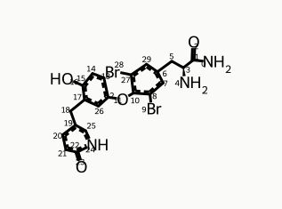 NC(=O)[C@@H](N)Cc1cc(Br)c(Oc2ccc(O)c(Cc3ccc(=O)[nH]c3)c2)c(Br)c1